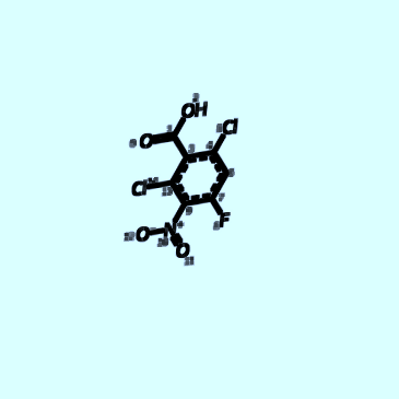 O=C(O)c1c(Cl)cc(F)c([N+](=O)[O-])c1Cl